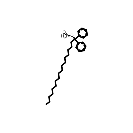 CCCCCCCCCCCCCCCCCC(O[PH2]=O)(c1ccccc1)c1ccccc1